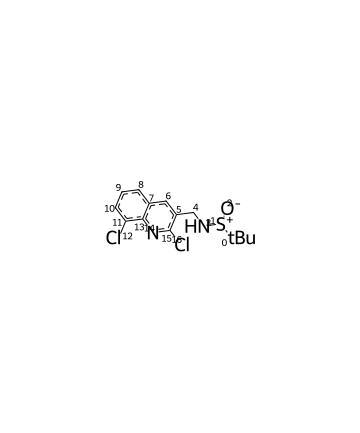 CC(C)(C)[S+]([O-])NCc1cc2cccc(Cl)c2nc1Cl